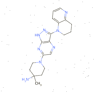 CC1(N)CCN(c2cnc3c(N4CCCc5ncccc54)n[nH]c3n2)CC1